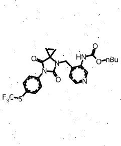 CCCCOC(=O)Nc1cnccc1CN1C(=O)N(c2ccc(SC(F)(F)F)cc2)C(=O)C12CC2